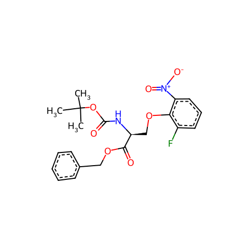 CC(C)(C)OC(=O)N[C@@H](COc1c(F)cccc1[N+](=O)[O-])C(=O)OCc1ccccc1